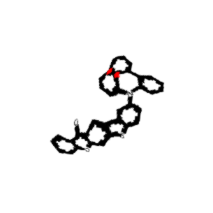 O=c1c2ccccc2oc2cc3sc4ccc(N(c5ccccc5)c5ccccc5-c5ccccc5)cc4c3cc12